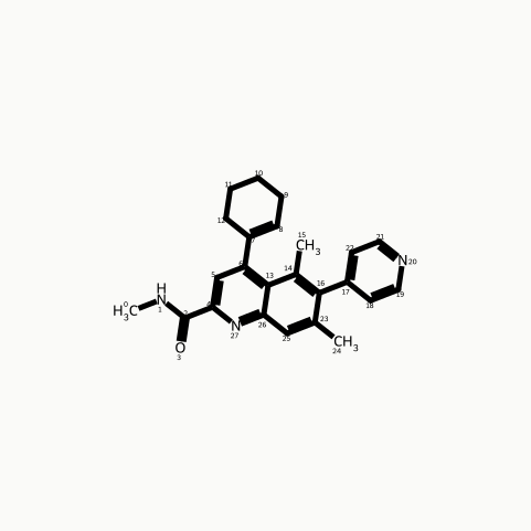 CNC(=O)c1cc(C2=CCCCC2)c2c(C)c(-c3ccncc3)c(C)cc2n1